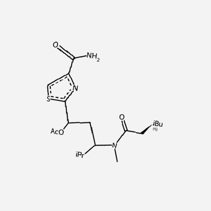 CC[C@H](C)CC(=O)N(C)C(CC(OC(C)=O)c1nc(C(N)=O)cs1)C(C)C